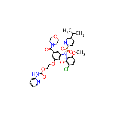 COc1ccc(Cl)c(Oc2c(NS(=O)(=O)c3ccc(C(C)C)cn3)cc(C(=O)N3CCOCC3)cc2OCCOC(=O)Nc2ccccn2)c1